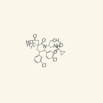 CCC(CNS(=O)(=O)C1CC1)N1C(=O)C(C)(CC(=O)O)CC(c2cccc(Cl)c2)C1c1ccc(Cl)cc1